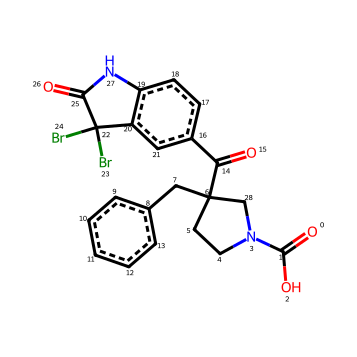 O=C(O)N1CCC(Cc2ccccc2)(C(=O)c2ccc3c(c2)C(Br)(Br)C(=O)N3)C1